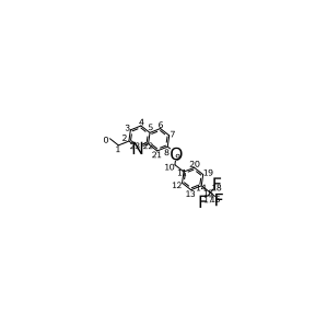 CCc1ccc2ccc(OCc3ccc(C(F)(F)F)cc3)cc2n1